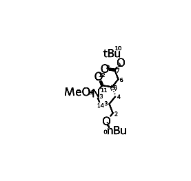 CCCCOCCC[C@@H](CC(=O)OC(C)(C)C)C(=O)N(C)OC